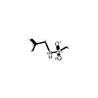 C=C(C)CNS(C)(=O)=O